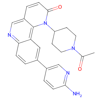 CC(=O)N1CCC(n2c(=O)ccc3cnc4ccc(-c5ccc(N)nc5)cc4c32)CC1